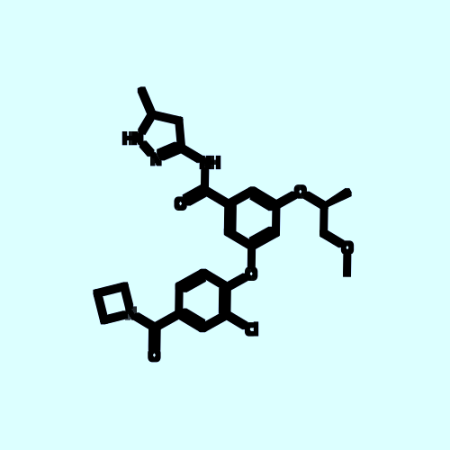 COC[C@H](C)Oc1cc(Oc2ccc(C(=O)N3CCC3)cc2Cl)cc(C(=O)NC2=NNC(C)C2)c1